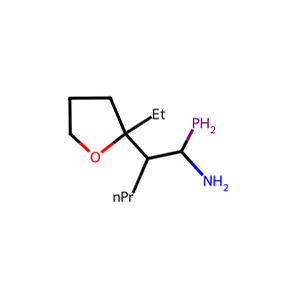 CCCC(C(N)P)C1(CC)CCCO1